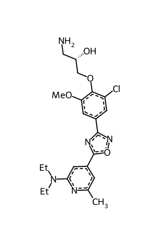 CCN(CC)c1cc(-c2nc(-c3cc(Cl)c(OC[C@@H](O)CN)c(OC)c3)no2)cc(C)n1